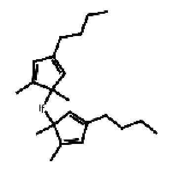 CCCCC1=C[C](C)([Hf][C]2(C)C=C(CCCC)C=C2C)C(C)=C1